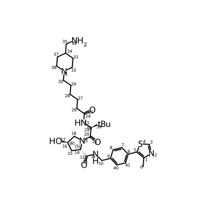 Cc1ncsc1-c1ccc(CNC(=O)[C@@H]2C[C@@H](O)CN2C(=O)[C@@H](NC(=O)CCCCCN2CCC(CN)CC2)C(C)(C)C)cc1